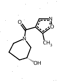 Cc1oncc1C(=O)N1CCC[C@@H](O)C1